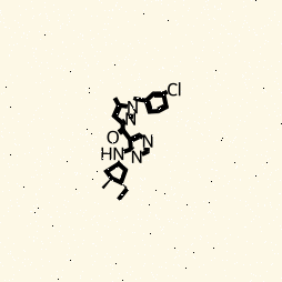 CC[C@H]1C[C@@H](Nc2ncncc2C(=O)c2cc(C)n(Cc3cccc(Cl)c3)n2)C[C@@H]1C